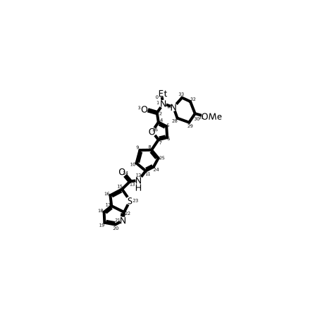 CCN(C(=O)c1ccc(-c2ccc(NC(=O)c3cc4cccnc4s3)cc2)o1)N1CCC(OC)CC1